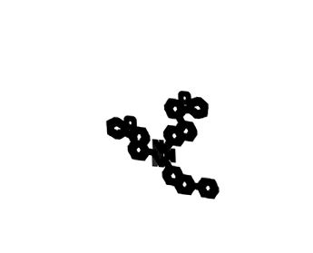 c1ccc(-c2ccc3ccc(-c4nc(-c5ccc6c(-c7cccc8oc9ccccc9c78)cccc6c5)nc(-c5cccc6c5ccc5oc7ccccc7c56)n4)cc3c2)cc1